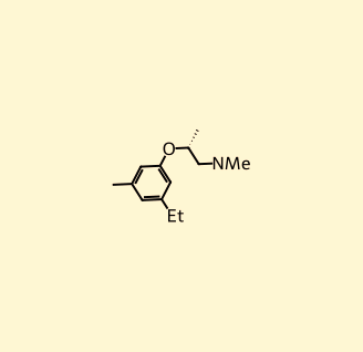 CCc1cc(C)cc(O[C@H](C)CNC)c1